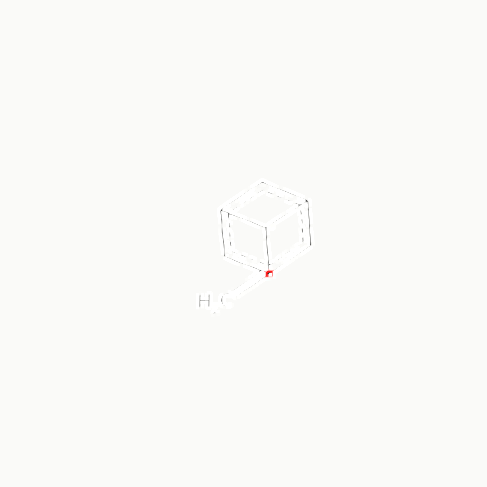 C=C[C]1c2cccc1c2